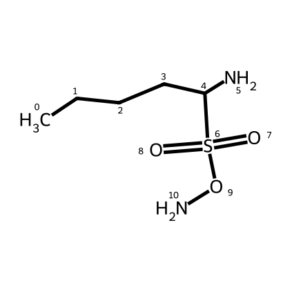 CCCCC(N)S(=O)(=O)ON